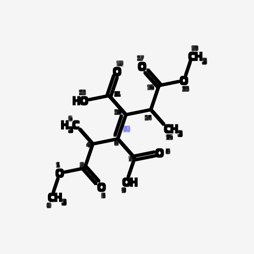 COC(=O)C(C)/C(C(=O)O)=C(\C(=O)O)C(C)C(=O)OC